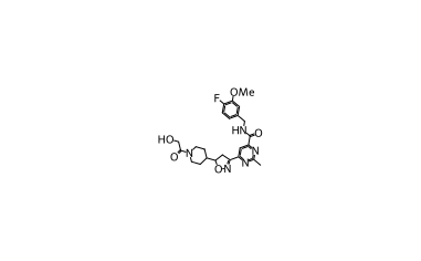 COc1cc(CNC(=O)c2cc(C3=NOC(C4CCN(C(=O)CO)CC4)C3)nc(C)n2)ccc1F